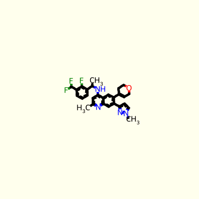 Cc1cc(NC(C)c2cccc(C(F)F)c2F)c2cc(C3=CCOCC3)c(-c3ccn(C)n3)cc2n1